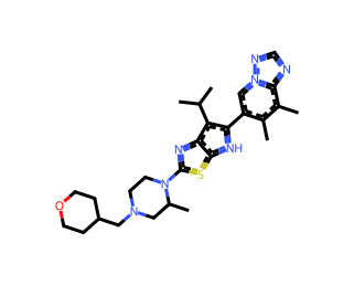 Cc1c(-c2[nH]c3sc(N4CCN(CC5CCOCC5)CC4C)nc3c2C(C)C)cn2ncnc2c1C